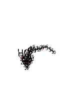 CCCCCCCCCCCCCCC(C)SCC(O)COC(c1ccccc1)(c1ccccc1)c1ccccc1